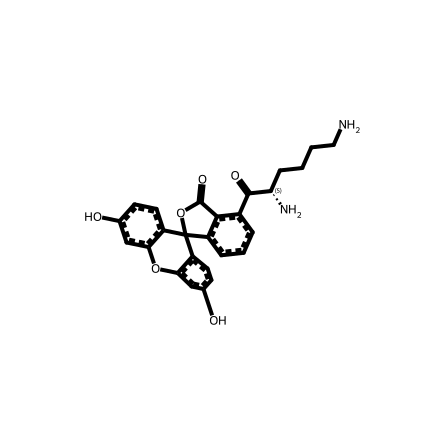 NCCCC[C@H](N)C(=O)c1cccc2c1C(=O)OC21c2ccc(O)cc2Oc2cc(O)ccc21